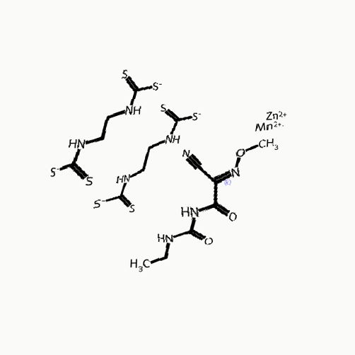 CCNC(=O)NC(=O)/C(C#N)=N/OC.S=C([S-])NCCNC(=S)[S-].S=C([S-])NCCNC(=S)[S-].[Mn+2].[Zn+2]